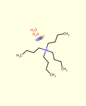 CCCC[N+](CCCC)(CCCC)CCCC.O.O.[C-]#N